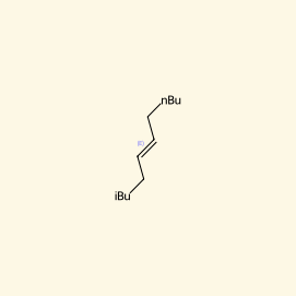 [CH2]CC(C)C/C=C/CCCCC